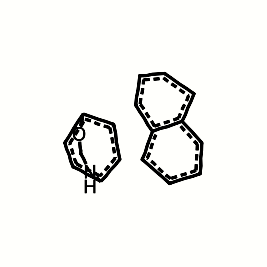 c1cc2ccc1NCO2.c1ccc2ccccc2c1